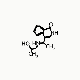 CC(O)CNC(C)c1c[nH]c(=O)c2ccccc12